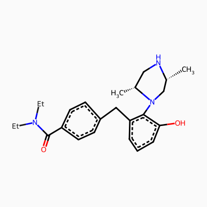 CCN(CC)C(=O)c1ccc(Cc2cccc(O)c2N2C[C@@H](C)NC[C@H]2C)cc1